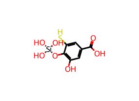 O=C(O)c1cc(O)c(O[Si](O)(O)O)c(S)c1